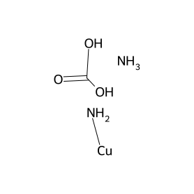 N.O=C(O)O.[NH2][Cu]